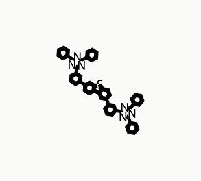 c1ccc(-c2nc(-c3ccccc3)nc(-c3cccc(-c4ccc5c(c4)sc4ccc(-c6cccc(-c7nc(-c8ccccc8)nc(-c8ccccc8)n7)c6)cc45)c3)n2)cc1